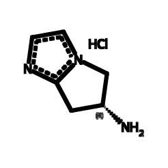 Cl.N[C@@H]1Cc2nccn2C1